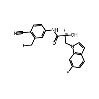 C[C@](O)(Cn1ccc2ccc(F)cc21)C(=O)Nc1ccc(C#N)c(CF)c1